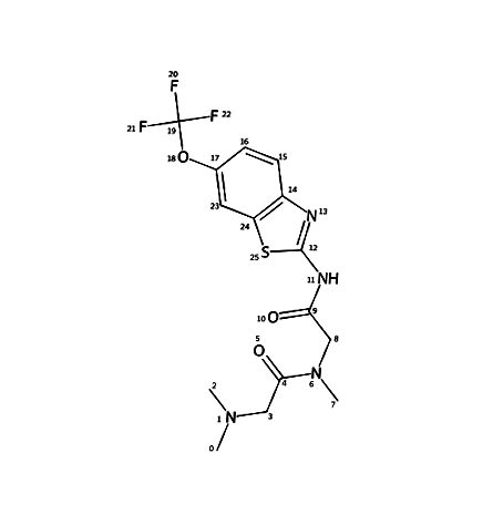 CN(C)CC(=O)N(C)CC(=O)Nc1nc2ccc(OC(F)(F)F)cc2s1